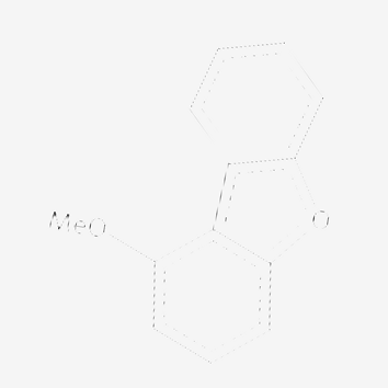 [CH2]Oc1cccc2oc3ccccc3c12